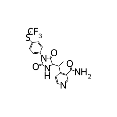 CC(c1ccncc1C(N)=O)C1NC(=O)N(c2ccc(SC(F)(F)F)cc2)C1=O